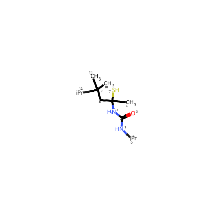 CC(C)NC(=O)NC(C)(S)CC(C)(C)C(C)C